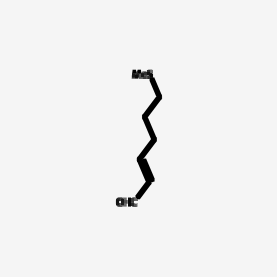 CSCCCC=CC=O